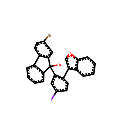 OC1(c2cc(I)ccc2-c2coc3ccccc23)c2ccccc2-c2ccc(Br)cc21